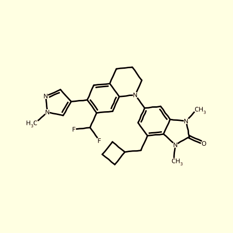 Cn1cc(-c2cc3c(cc2C(F)F)N(c2cc(CC4CCC4)c4c(c2)n(C)c(=O)n4C)CCC3)cn1